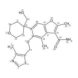 Cc1ncsc1COc1c(C2(CO)CCOCC2)cc2oc(C)c(C(N)=O)c2c1C